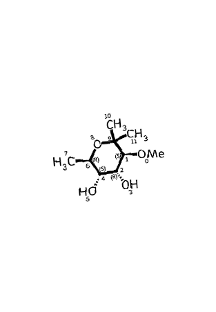 CO[C@H]1[C@H](O)[C@H](O)[C@@H](C)OC1(C)C